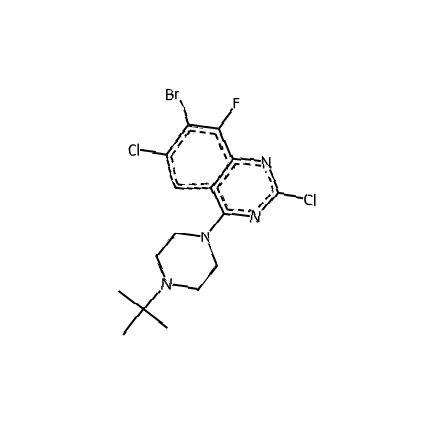 CC(C)(C)N1CCN(c2nc(Cl)nc3c(F)c(Br)c(Cl)cc23)CC1